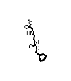 COC(=O)CNCCNC(=O)OCc1ccccc1